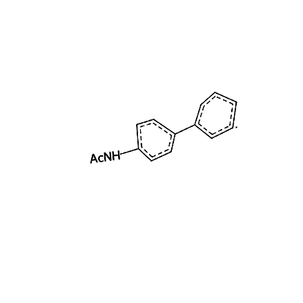 CC(=O)Nc1ccc(-c2c[c]ccc2)cc1